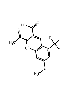 COc1cc(C)c(/C=C(\NC(C)=O)C(=O)O)c(C(F)(F)F)c1